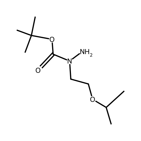 CC(C)OCCN(N)C(=O)OC(C)(C)C